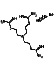 Br.Br.Br.Br.N=C(N)SCCN(CCSC(=N)N)CCSC(=N)N